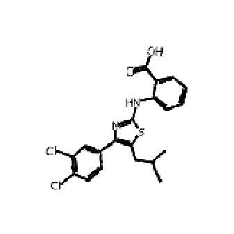 CC(C)Cc1sc(Nc2ccccc2C(=O)O)nc1-c1ccc(Cl)c(Cl)c1